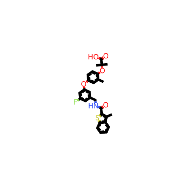 Cc1cc(Oc2cc(F)cc(CNC(=O)c3sc4ccccc4c3C)c2)ccc1OC(C)(C)C(=O)O